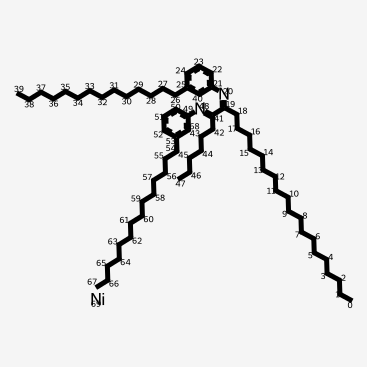 CCCCCCCCCCCCCCCCCCCC(=Nc1cccc(CCCCCCCCCCCCCC)c1)C(CCCCCC)=Nc1cccc(CCCCCCCCCCCCCC)c1.[Ni]